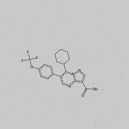 O=C(O)c1cnn2c(C3CCCCC3)c(-c3ccc(OC(F)(F)F)cc3)cnc12